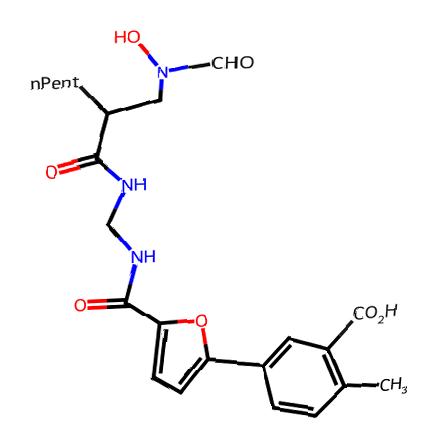 CCCCCC(CN(O)C=O)C(=O)NCNC(=O)c1ccc(-c2ccc(C)c(C(=O)O)c2)o1